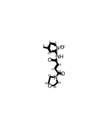 Cc1cc[n+]([O-])c(NC(=O)C=CC(=O)N2CCOCC2)c1